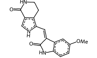 COc1ccc2c(c1)C(=Cc1[nH]cc3c1CCNC3=O)C(=O)N2